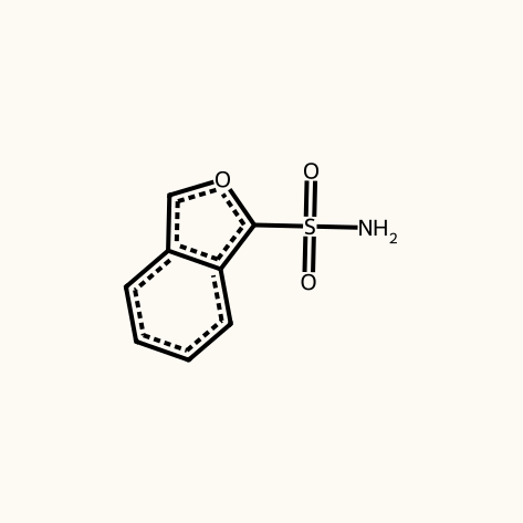 NS(=O)(=O)c1occ2ccccc12